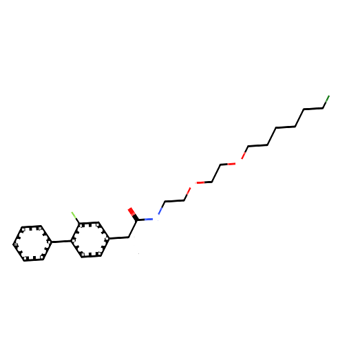 C[C@@H](C(=O)NCCOCCOCCCCCCCl)c1ccc(-c2ccccc2)c(F)c1